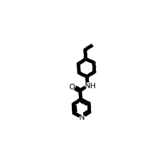 CCC1CCC(NC(=O)c2ccncc2)CC1